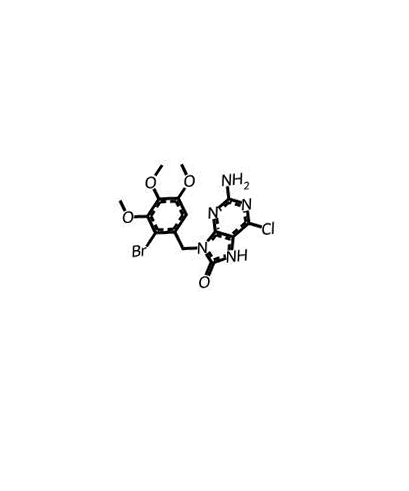 COc1cc(Cn2c(=O)[nH]c3c(Cl)nc(N)nc32)c(Br)c(OC)c1OC